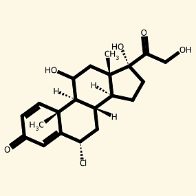 C[C@]12C=CC(=O)C=C1[C@@H](Cl)C[C@@H]1[C@@H]2C(O)C[C@@]2(C)[C@H]1CC[C@]2(O)C(=O)CO